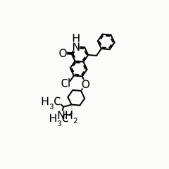 CC[C@]1(C(C)N)CC[C@@H](Oc2cc3c(Cc4ccccc4)c[nH]c(=O)c3cc2Cl)CC1